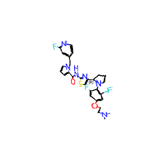 CN(C)CCOc1cc(F)c(N2CCC[C@@H]2c2csc(NC(=O)c3cccn3Cc3ccnc(F)c3)n2)c(F)c1